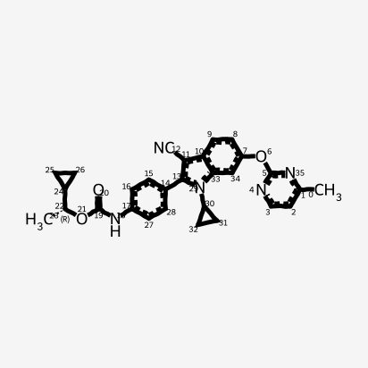 Cc1ccnc(Oc2ccc3c(C#N)c(-c4ccc(NC(=O)O[C@H](C)C5CC5)cc4)n(C4CC4)c3c2)n1